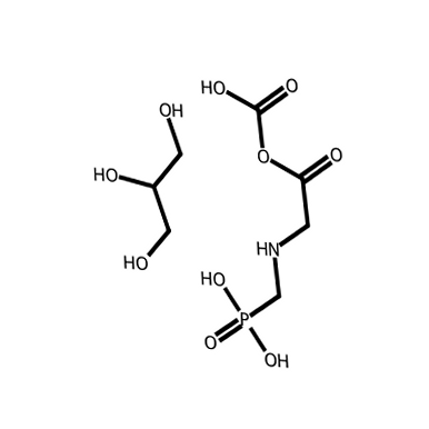 O=C(O)OC(=O)CNCP(=O)(O)O.OCC(O)CO